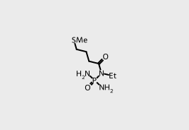 CCN(C(=O)CCCSC)P(N)(N)=O